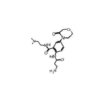 CN(C)CCNC(=O)c1cc(N2CCOCC2=O)ccc1NC(=O)CCN